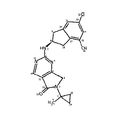 CC1(N2Cc3nc(N[C@H]4Cc5cc(Cl)cc(C#N)c5C4)ncc3C2=O)CC1